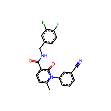 Cc1ccc(C(=O)NCc2ccc(F)c(F)c2)c(=O)n1-c1cccc(C#N)c1